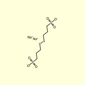 O=S(=O)([O-])CCCSSCCCS(=O)(=O)[O-].[Na+].[Na+]